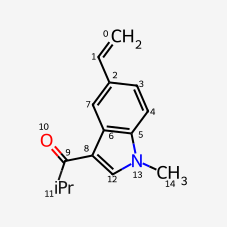 C=Cc1ccc2c(c1)c(C(=O)C(C)C)cn2C